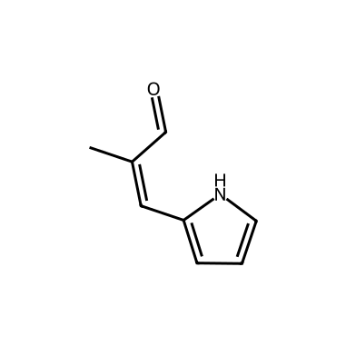 CC(C=O)=Cc1ccc[nH]1